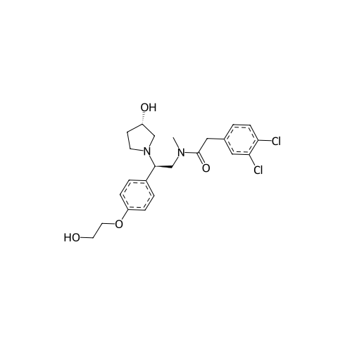 CN(C[C@@H](c1ccc(OCCO)cc1)N1CC[C@H](O)C1)C(=O)Cc1ccc(Cl)c(Cl)c1